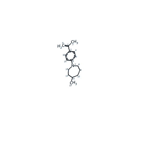 C=C(C)c1ccc(N2CCCC(C)CC2)cc1